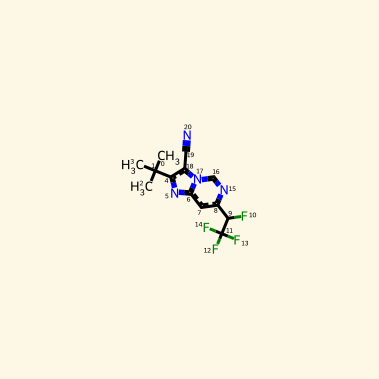 CC(C)(C)c1nc2cc(C(F)C(F)(F)F)ncn2c1C#N